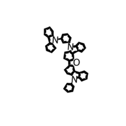 c1ccc(-n2c3ccccc3c3c4oc5c(ccc6c5c5ccccc5n6-c5cccc(-n6c7ccccc7c7ccccc76)c5)c4ccc32)cc1